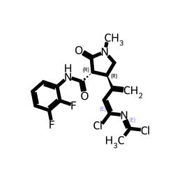 C=C(/C=C(Cl)\N=C(/C)Cl)[C@@H]1CN(C)C(=O)[C@H]1C(=O)Nc1cccc(F)c1F